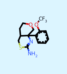 NC1=NC2(c3ccccc3OC(F)(F)F)COCCC2CS1